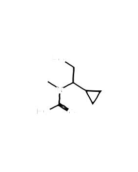 CN(C(=O)O)C(CO)C1CC1